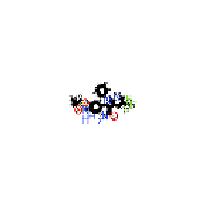 CC1(S(=O)(=O)Nc2ccc(-c3c(C(N)=O)c4cc(C(F)(F)F)cnc4n3-c3ccccc3)cc2)CC1